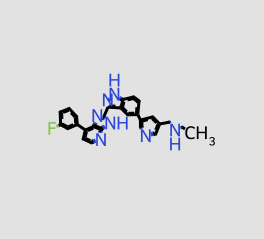 CCNCc1cncc(-c2ccc3[nH]nc(-c4nc5c(-c6cccc(F)c6)ccnc5[nH]4)c3c2)c1